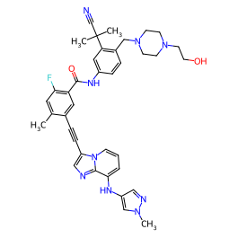 Cc1cc(F)c(C(=O)Nc2ccc(CN3CCN(CCO)CC3)c(C(C)(C)C#N)c2)cc1C#Cc1cnc2c(Nc3cnn(C)c3)cccn12